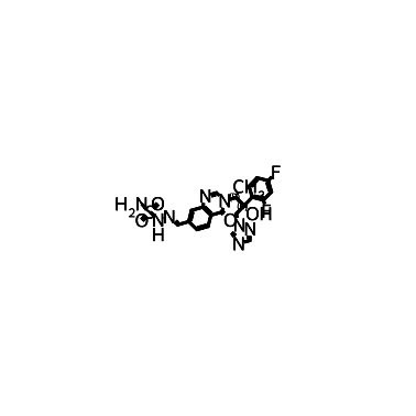 C[C@@H](n1cnc2cc(C=NNS(N)(=O)=O)ccc2c1=O)[C@](O)(Cn1cncn1)c1ccc(F)cc1F